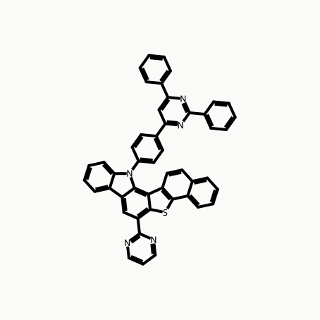 c1ccc(-c2cc(-c3ccc(-n4c5ccccc5c5cc(-c6ncccn6)c6sc7c8ccccc8ccc7c6c54)cc3)nc(-c3ccccc3)n2)cc1